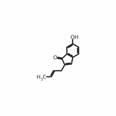 CC=CCC1=Cc2ccc(O)cc2C1=O